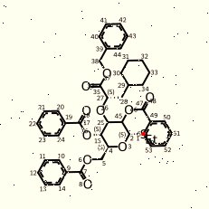 CCS[C@@H]1O[C@@H](COC(=O)c2ccccc2)[C@H](OC(=O)c2ccccc2)C(O[C@@H](CC2CCCCC2)C(=O)OCc2ccccc2)C1OC(=O)c1ccccc1